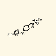 CC(C)(C)S(=O)(=O)NC[C@H]1CC[C@H](Nc2nc(C(F)(F)F)cs2)CC1